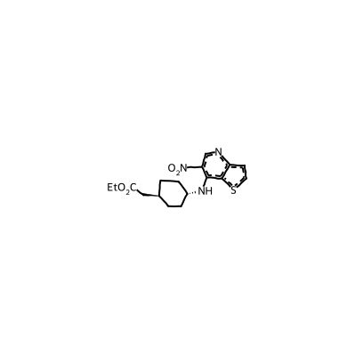 CCOC(=O)C[C@H]1CC[C@H](Nc2c([N+](=O)[O-])cnc3ccsc23)CC1